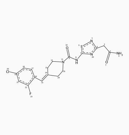 NC(=O)Cc1nsc(NC(=O)N2CCC(=Cc3ccc(Cl)cc3F)CC2)n1